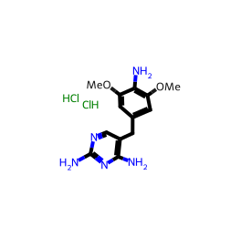 COc1cc(Cc2cnc(N)nc2N)cc(OC)c1N.Cl.Cl